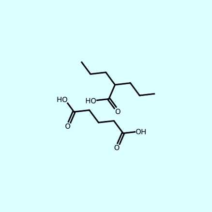 CCCC(CCC)C(=O)O.O=C(O)CCCC(=O)O